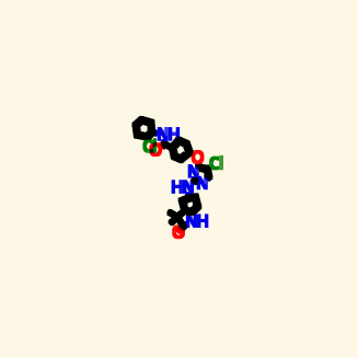 CC1(C)C(=O)Nc2ccc(Nc3ncc(Cl)c(Oc4ccc(C(=O)Nc5ccccc5Cl)cc4)n3)cc21